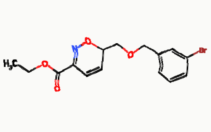 CCOC(=O)C1=NOC(COCc2cccc(Br)c2)C=C1